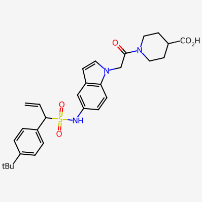 C=CC(c1ccc(C(C)(C)C)cc1)S(=O)(=O)Nc1ccc2c(ccn2CC(=O)N2CCC(C(=O)O)CC2)c1